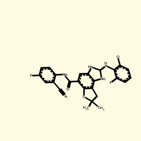 CC1(C)Cc2c3c(cc(C(=O)Nc4ccc(F)cc4C#N)c2O1)NC(Nc1c(F)cccc1Cl)N3